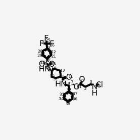 O=C(CCNCl)OC[C@@H](NC(=O)[C@H]1CC[C@H](NS(=O)(=O)c2ccc(C(F)(F)F)cc2)CC1)c1ccccc1